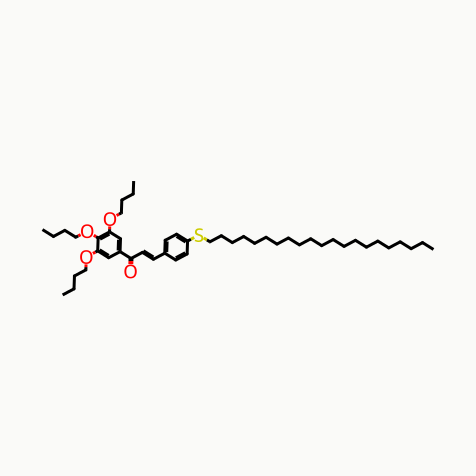 CCCCCCCCCCCCCCCCCCCCCSc1ccc(/C=C/C(=O)c2cc(OCCCC)c(OCCCC)c(OCCCC)c2)cc1